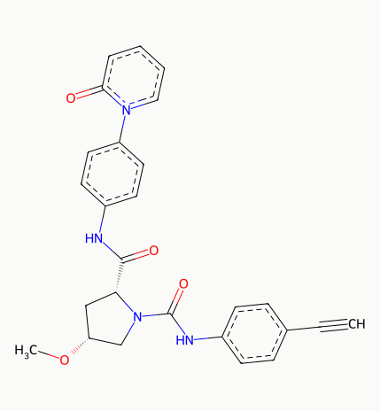 C#Cc1ccc(NC(=O)N2C[C@H](OC)C[C@@H]2C(=O)Nc2ccc(-n3ccccc3=O)cc2)cc1